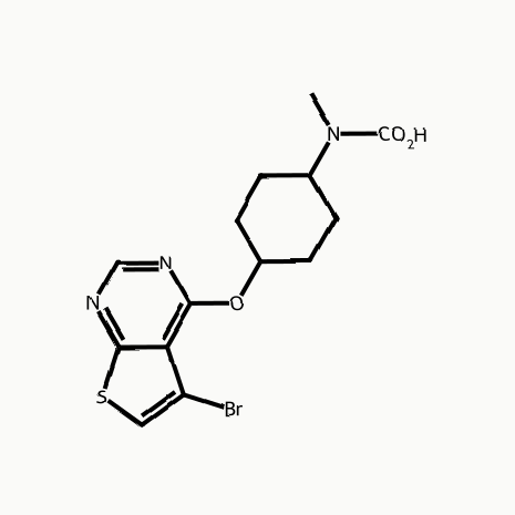 CN(C(=O)O)C1CCC(Oc2ncnc3scc(Br)c23)CC1